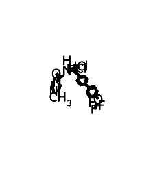 CN1CCN(C(=O)CNC2CC2c2ccc(-c3ccc(OC(F)(F)F)cc3)cc2)CC1.Cl.Cl